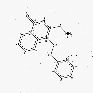 NCc1nc(=O)c2ccccc2n1CCc1ccccn1